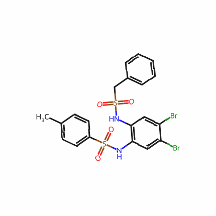 Cc1ccc(S(=O)(=O)Nc2cc(Br)c(Br)cc2NS(=O)(=O)Cc2ccccc2)cc1